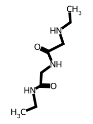 CCNCC(=O)NCC(=O)NCC